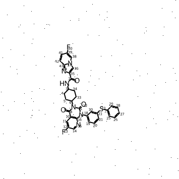 O=C(NC1CCC(n2c(=O)c3cc(F)cnc3n(-c3cccc(Sc4ccccc4)c3)c2=O)CC1)c1cn2cc(F)ccc2n1